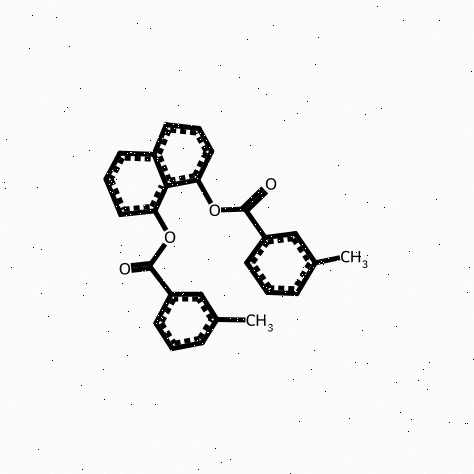 Cc1cccc(C(=O)Oc2cccc3cccc(OC(=O)c4cccc(C)c4)c23)c1